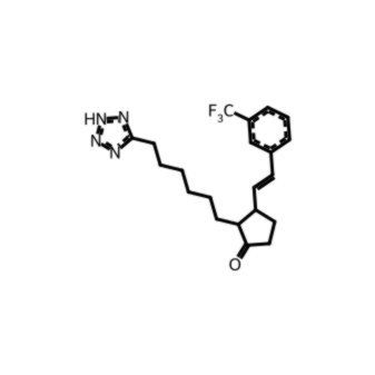 O=C1CCC(C=Cc2cccc(C(F)(F)F)c2)C1CCCCCCc1nn[nH]n1